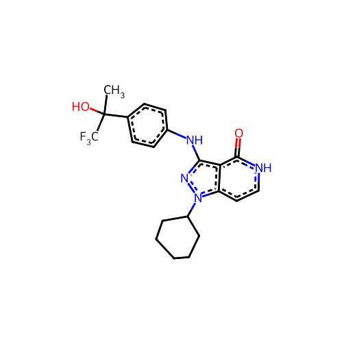 CC(O)(c1ccc(Nc2nn(C3CCCCC3)c3cc[nH]c(=O)c23)cc1)C(F)(F)F